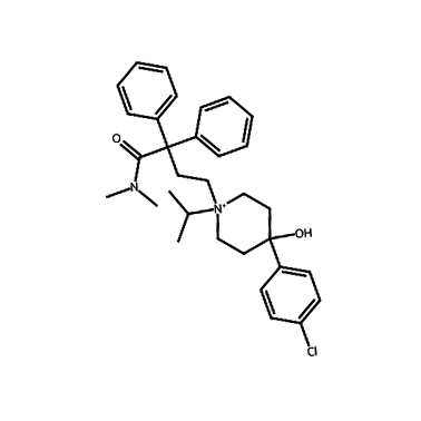 CC(C)[N+]1(CCC(C(=O)N(C)C)(c2ccccc2)c2ccccc2)CCC(O)(c2ccc(Cl)cc2)CC1